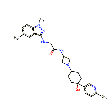 Cc1ccc2c(c1)c(NCC(=O)NC1CN(C3CCC(O)(c4ccc(C)nc4)CC3)C1)nn2C